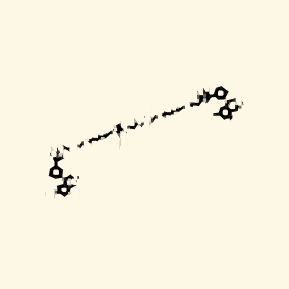 CN1Cc2c(Cl)cc(Cl)cc2[C@H](c2cccc(-c3cn(CCOCCOCCOCCNC(=O)NCCNC(=O)NCCOCCOCCOCCn4cc(-c5cccc([C@@H]6CN(C)Cc7c(Cl)cc(Cl)cc76)c5)nn4)nn3)c2)C1